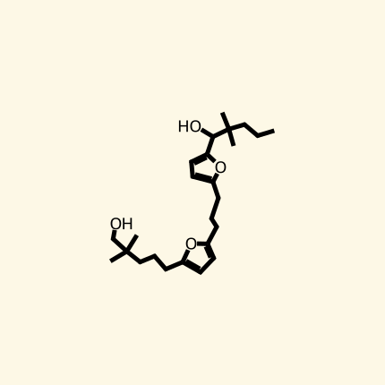 CCCC(C)(C)C(O)c1ccc(CCCc2ccc(CCCC(C)(C)CO)o2)o1